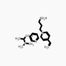 C=CC1=CCN(CCCS(=O)(=O)O)C=C1.CC(C(=O)O)N(C)C.c1ccncc1